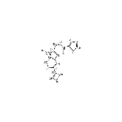 Cn1c2c(c3cc(C4=CC=CC4)ccc31)C=C(C1=CCC1)CC2